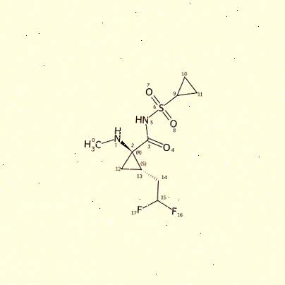 CN[C@]1(C(=O)NS(=O)(=O)C2CC2)C[C@H]1CC(F)F